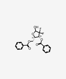 O=C(OC[C@@H]1OC(O)C(F)(F)[C@@H]1OC(=O)c1ccccc1)c1ccccc1